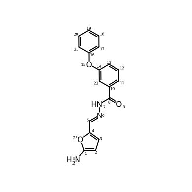 Nc1ccc(/C=N/NC(=O)c2cccc(Oc3ccccc3)c2)o1